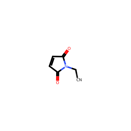 N#CCN1C(=O)C=CC1=O